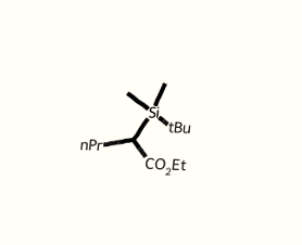 CCCC(C(=O)OCC)[Si](C)(C)C(C)(C)C